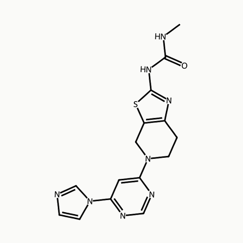 CNC(=O)Nc1nc2c(s1)CN(c1cc(-n3ccnc3)ncn1)CC2